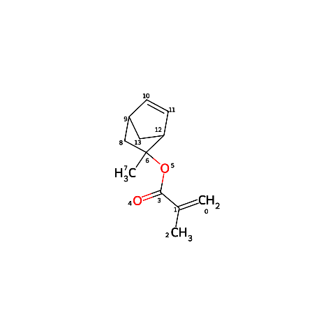 C=C(C)C(=O)OC1(C)CC2C=CC1C2